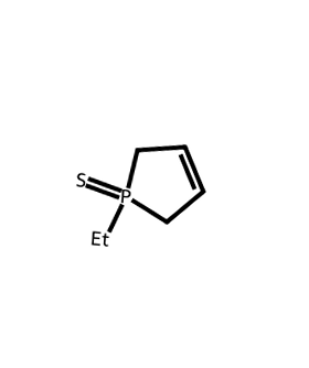 CCP1(=S)CC=CC1